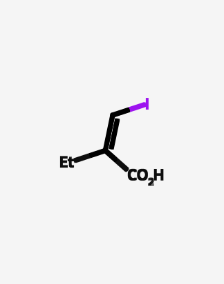 CC/C(=C/I)C(=O)O